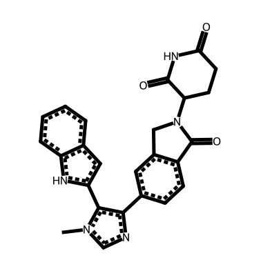 Cn1cnc(-c2ccc3c(c2)CN(C2CCC(=O)NC2=O)C3=O)c1-c1cc2ccccc2[nH]1